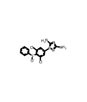 Nc1nc(N)n(-c2cc(Cl)c([S+]([O-])c3ccccc3)c(Cl)c2)n1